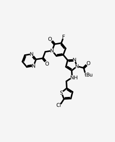 CC(C)(C)C(=O)n1nc(-c2cc(F)c(=O)n(CC(=O)c3ncccn3)c2)cc1NCc1ccc(Cl)s1